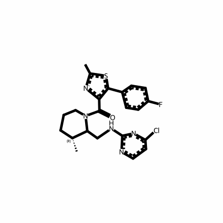 Cc1nc(C(=O)N2CCC[C@@H](C)C2CNc2nccc(Cl)n2)c(-c2ccc(F)cc2)s1